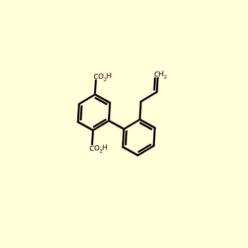 C=CCc1ccccc1-c1cc(C(=O)O)ccc1C(=O)O